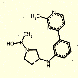 CB(O)N1CCC(Nc2cccc(-c3ccnc(C)n3)c2)C1